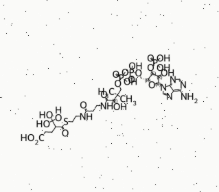 CC(C)(COP(=O)(O)OP(=O)(O)OC[C@H]1O[C@@H](n2cnc3c(N)ncnc32)[C@H](O)[C@@H]1OP(=O)(O)O)[C@@H](O)C(=O)NCCC(=O)NCCSC(=O)C(CCC(=O)O)C(O)(O)O